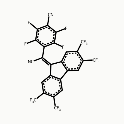 N#CC(=C1c2cc(C(F)(F)F)c(C(F)(F)F)cc2-c2cc(C(F)(F)F)c(C(F)(F)F)cc21)c1c(F)c(F)c(C#N)c(F)c1F